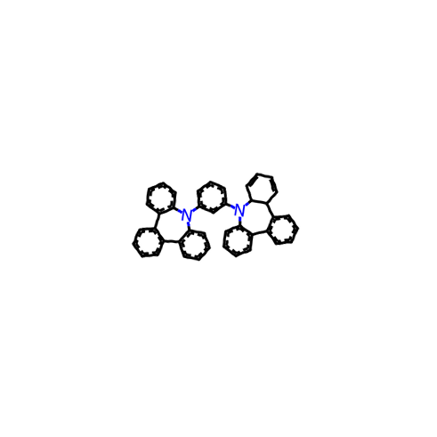 C1=CC2c3ccccc3-c3ccccc3N(c3cccc(N4c5ccccc5-c5ccccc5-c5ccccc54)c3)C2C=C1